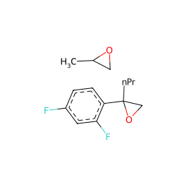 CC1CO1.CCCC1(c2ccc(F)cc2F)CO1